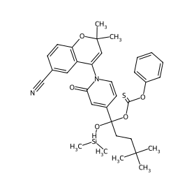 C[SiH](C)OC(CCC(C)(C)C)(OC(=S)Oc1ccccc1)c1ccn(C2=CC(C)(C)Oc3ccc(C#N)cc32)c(=O)c1